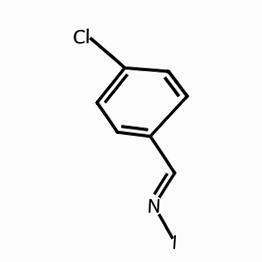 Clc1ccc(/C=N/I)cc1